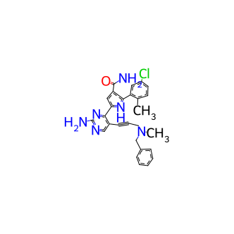 Cc1ccc(Cl)cc1-c1[nH]c(-c2nc(N)ncc2C#CCN(C)Cc2ccccc2)cc1C(N)=O